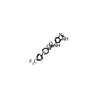 O=C(CC1(O)CCN(c2ccc(C(F)(F)F)cc2)CC1)Nc1ccc2nc[nH]c2c1